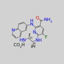 CC(C)[C@@H](Nc1nc(Nc2ccc3ncccc3c2)c(C(N)=O)cc1F)[C@H](C)NC(=O)O